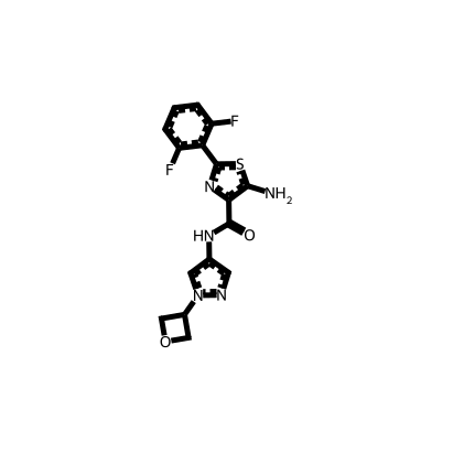 Nc1sc(-c2c(F)cccc2F)nc1C(=O)Nc1cnn(C2COC2)c1